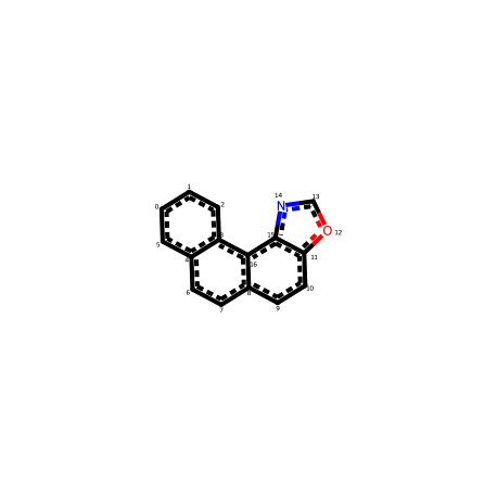 c1ccc2c(c1)ccc1ccc3ocnc3c12